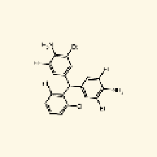 CCc1cc(C(c2cc(CC)c(N)c(CC)c2)c2c(Cl)cccc2Cl)cc(CC)c1N